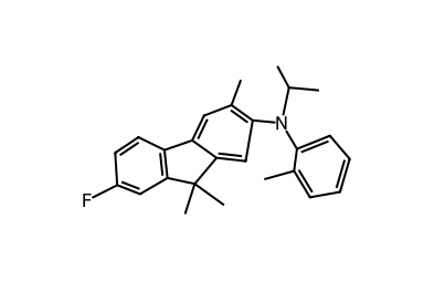 Cc1ccccc1N(c1cc2c(cc1C)-c1ccc(F)cc1C2(C)C)C(C)C